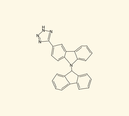 c1ccc2c(c1)-c1ccccc1C2n1c2ccccc2c2cc(-c3nn[nH]n3)ccc21